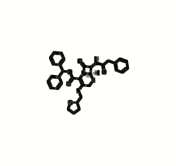 O=C(Cc1ccccc1)NC1C(=O)N2C(C(=O)OC(c3ccccc3)c3ccccc3)=C(SCC3CCCO3)CS[C@H]12